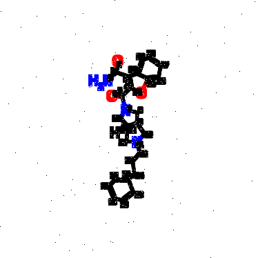 NC(=O)c1c(C(=O)N2CC3CN(CC[CH]c4ccccc4)C[C@H]3C2)oc2ccccc12